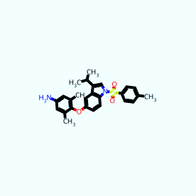 Cc1ccc(S(=O)(=O)n2cc(C(C)C)c3cc(Oc4c(C)cc(N)cc4C)ccc32)cc1